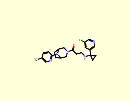 C[C@H]1CC2CN(C(=O)CCNC3(c4cncc(F)c4)CC3)CC1N2c1ccc(C#N)cn1